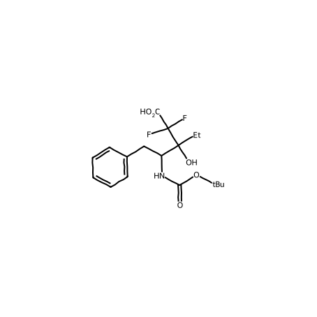 CCC(O)(C(Cc1ccccc1)NC(=O)OC(C)(C)C)C(F)(F)C(=O)O